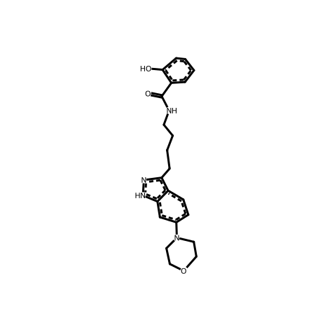 O=C(NCCCCc1n[nH]c2cc(N3CCOCC3)ccc12)c1ccccc1O